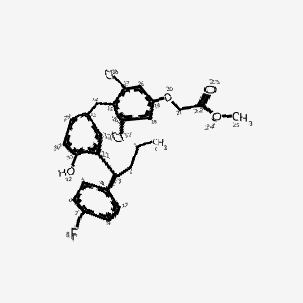 CCCC(c1ccc(F)cc1)c1cc(Cc2c(Cl)cc(OCC(=O)OC)cc2Cl)ccc1O